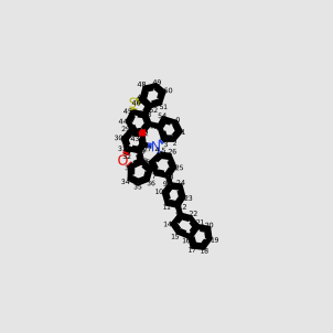 c1ccc(N(c2ccc(-c3ccc(-c4ccc5ccccc5c4)cc3)cc2)c2cccc3oc4ccccc4c23)c(-c2cccc3sc4ccccc4c23)c1